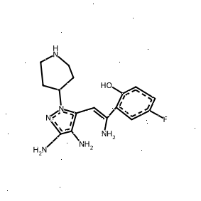 N/C(=C\c1c(N)c(N)nn1C1CCNCC1)c1cc(F)ccc1O